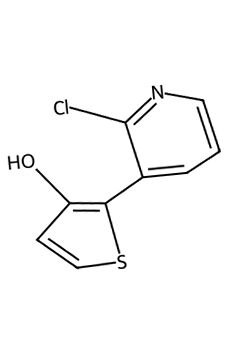 Oc1ccsc1-c1cccnc1Cl